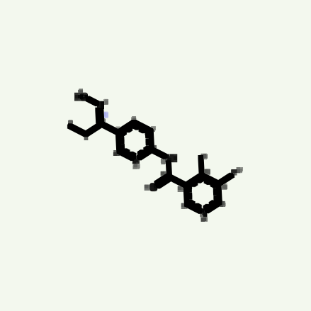 CC/C(=N\O)c1ccc(NC(=O)c2cncc(F)c2C)nc1